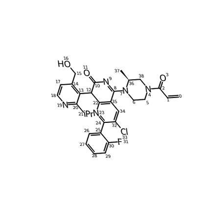 C=CC(=O)N1CCN(C2=NC(=O)C(c3c(CO)ccnc3C(C)C)c3nc(-c4ccccc4F)c(Cl)cc32)[C@@H](C)C1